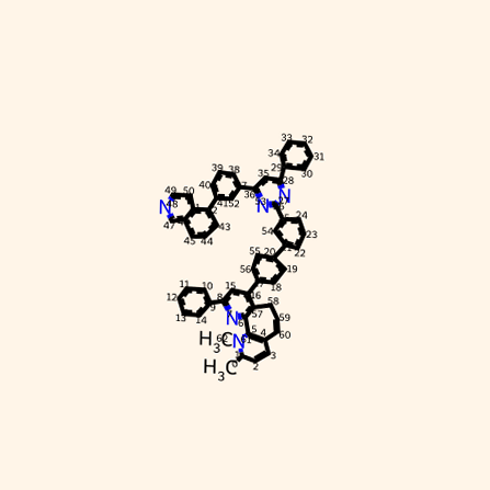 CC1C=CC2=C(c3nc(-c4ccccc4)cc(-c4ccc(-c5cccc(-c6nc(-c7ccccc7)cc(-c7cccc(-c8cccc9cnccc89)c7)n6)c5)cc4)c3CC=C2)N1C